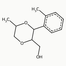 Cc1ccccc1C1OC(C)COC1CO